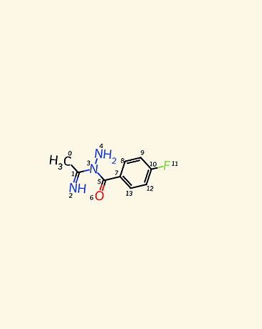 CC(=N)N(N)C(=O)c1ccc(F)cc1